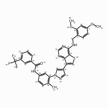 COc1ccc(CNc2ncnc3c(-c4cnn(-c5cc(NC(=O)c6ccnc(C(F)(F)F)c6)ccc5C)c4)csc23)c(OC)c1